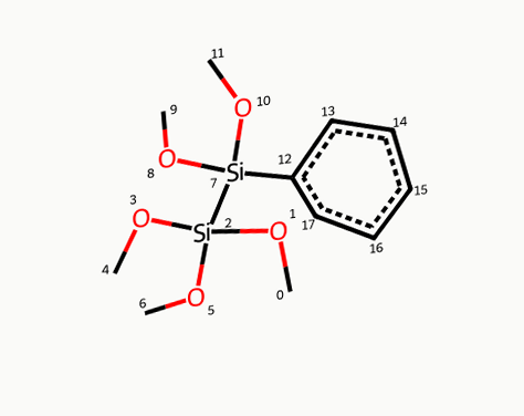 CO[Si](OC)(OC)[Si](OC)(OC)c1ccccc1